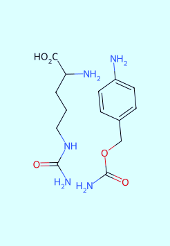 NC(=O)NCCCC(N)C(=O)O.NC(=O)OCc1ccc(N)cc1